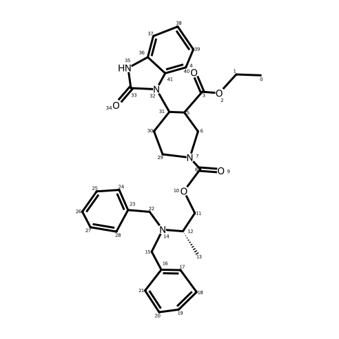 CCOC(=O)C1CN(C(=O)OC[C@H](C)N(Cc2ccccc2)Cc2ccccc2)CCC1n1c(=O)[nH]c2ccccc21